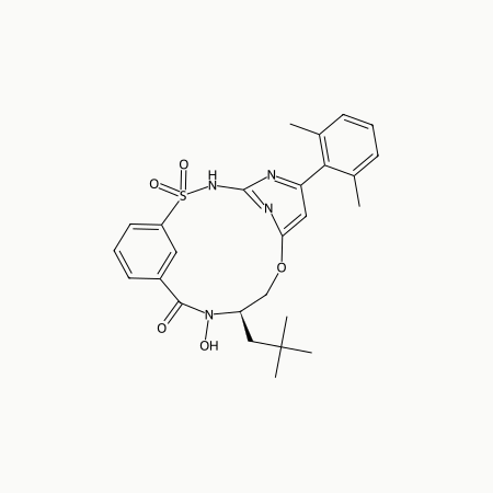 Cc1cccc(C)c1-c1cc2nc(n1)NS(=O)(=O)c1cccc(c1)C(=O)N(O)[C@H](CC(C)(C)C)CO2